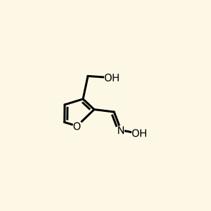 OCc1ccoc1C=NO